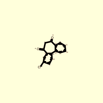 O=C1CC(=O)c2cc(Cl)ccc2-c2ccccc21